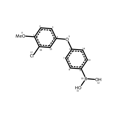 COc1ccc(Oc2ccc(B(O)O)cc2)cc1Cl